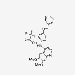 COc1cc2ncnc(Nc3ccc(OCc4ccccc4)cc3)c2cc1OC.O=C(O)C(F)(F)F